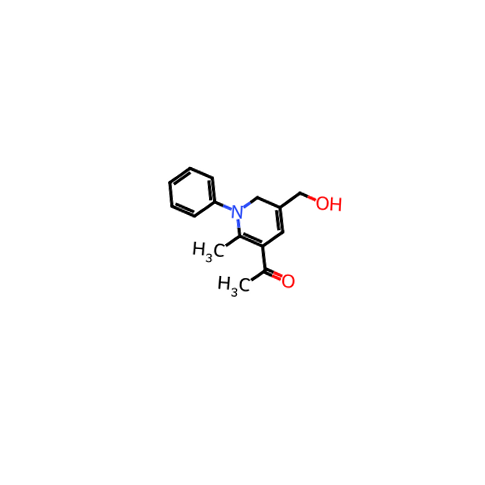 CC(=O)C1=C(C)N(c2ccccc2)CC(CO)=C1